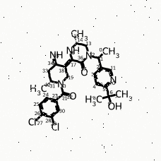 CC(c1ccc(C(C)(C)O)nc1)N1C[C@@H](C)N/C(=C2/CN(C(=O)c3ccc(Cl)c(Cl)c3)[C@H](C)CC2=N)C1=O